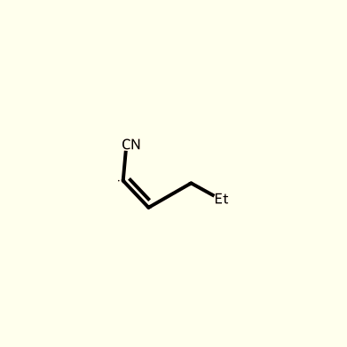 CCC/C=[C]\C#N